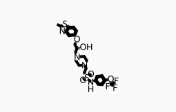 Cc1nc2cc(OC[C@H](O)CN3CCN(CCS(=O)(=O)Nc4ccc(OC(F)(F)F)cc4)CC3)ccc2s1